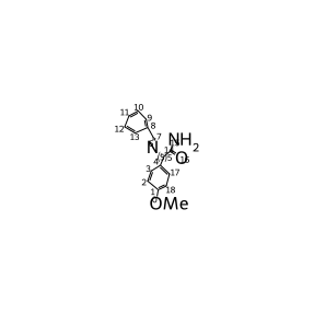 COc1ccc([C@H](N=Cc2ccccc2)C(N)=O)cc1